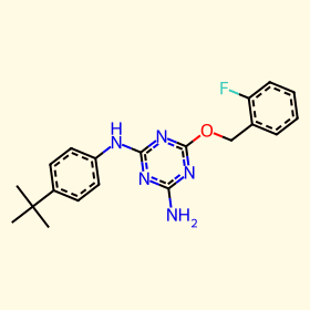 CC(C)(C)c1ccc(Nc2nc(N)nc(OCc3ccccc3F)n2)cc1